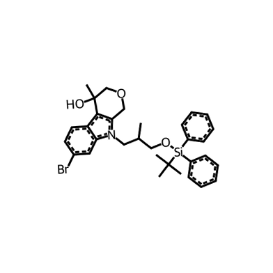 CC(CO[Si](c1ccccc1)(c1ccccc1)C(C)(C)C)Cn1c2c(c3ccc(Br)cc31)C(C)(O)COC2